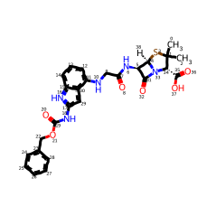 CC1(C)S[C@@H]2[C@H](NC(=O)CNc3cccc4[nH]c(NC(=O)OCc5ccccc5)cc34)C(=O)N2[C@H]1C(=O)O